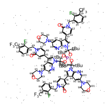 CC(C)(C)C(OP(=O)(OC(n1cc(-c2ccn(Cc3cccc(C(F)(F)F)c3F)c(=O)c2)c2cc(N3CCOCC3)cnc21)(C(C)(C)C)C(C)(C)C)OC(n1cc(-c2ccn(Cc3cccc(C(F)(F)F)c3F)c(=O)c2)c2cc(N3CCOCC3)cnc21)(C(C)(C)C)C(C)(C)C)(n1cc(-c2ccn(Cc3cccc(C(F)(F)F)c3F)c(=O)c2)c2cc(N3CCOCC3)cnc21)C(C)(C)C